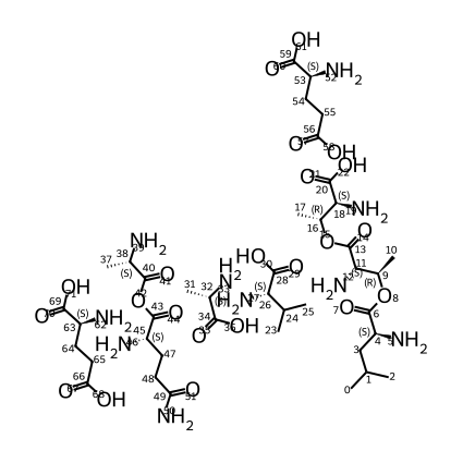 CC(C)C[C@H](N)C(=O)O[C@H](C)[C@H](N)C(=O)O[C@H](C)[C@H](N)C(=O)O.CC(C)[C@H](N)C(=O)O.C[C@H](N)C(=O)O.C[C@H](N)C(=O)OC(=O)[C@@H](N)CCC(N)=O.N[C@@H](CCC(=O)O)C(=O)O.N[C@@H](CCC(=O)O)C(=O)O